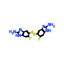 Nc1nc2cc(SSc3cc4nc(N)[nH]c4cc3F)c(F)cc2[nH]1